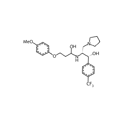 COc1ccc(OCCC(O)N[C@H](CN2CCCC2)[C@H](O)c2ccc(C(F)(F)F)cc2)cc1